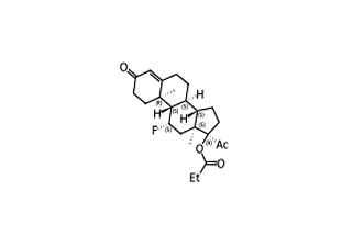 CCC(=O)O[C@]1(C(C)=O)CC[C@H]2[C@@H]3CCC4=CC(=O)CC[C@]4(C)[C@H]3[C@@H](F)C[C@@]21C